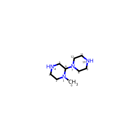 CN1CCNCC1N1CCNCC1